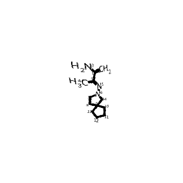 C=C(N)/C(C)=N/N1CCC2(CCCC2)C1